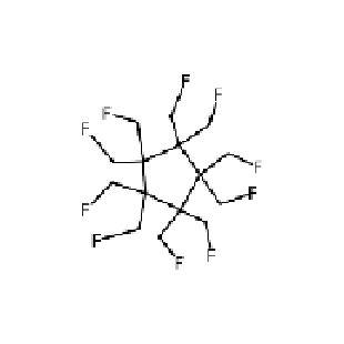 FCC1(CF)C(CF)(CF)C(CF)(CF)C(CF)(CF)C1(CF)CF